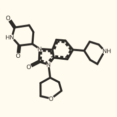 O=C1CCC(n2c(=O)n(C3CCOCC3)c3cc(C4CCNCC4)ccc32)C(=O)N1